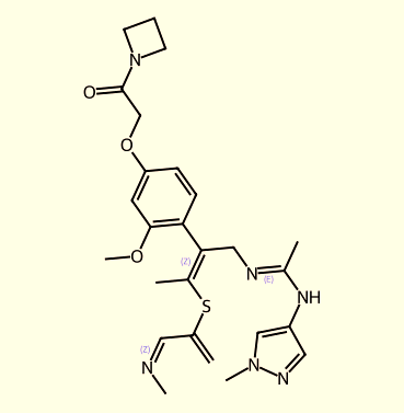 C=C(/C=N\C)S/C(C)=C(\C/N=C(\C)Nc1cnn(C)c1)c1ccc(OCC(=O)N2CCC2)cc1OC